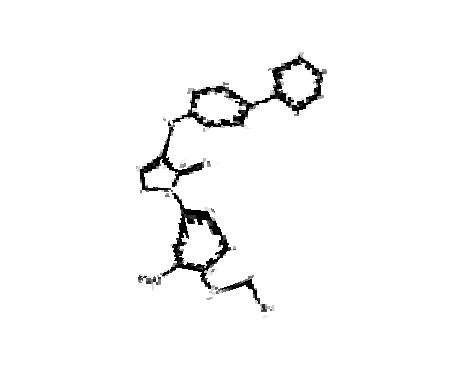 COc1cc(N2CC=C(Oc3ccc(-c4ccccc4)cc3)C2=O)ccc1OCC(C)(C)C